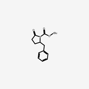 CC(C)(C)OC(=O)N1C(=O)CCC1Cc1ccccc1